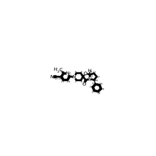 Cc1nc(N2CCC3(CC2)O[C@@H]2CC[C@@H](c4ccccc4)N2C3=O)ccc1C#N